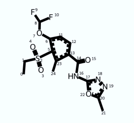 CCS(=O)(=O)c1c(OC(F)F)ccc(C(=O)Nc2nnc(C)o2)c1C